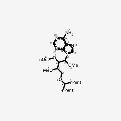 CCCCCCCCOC(C(COC(CCCCC)CCCCC)OC)C(OC)n1cnc2c(N)ncnc21